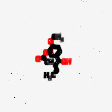 C=CCC(O)c1ccc(OC)cc1.CC(=O)O